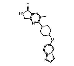 Cc1cc2c(nc1N1CCC(Oc3ccc4nccn4c3)CC1)CNC2=O